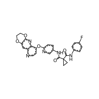 O=C(Nc1ccc(F)cc1)C1(C(=O)Nc2ccc(Oc3ccnc4cc5c(nc34)OCCO5)nc2)CC1